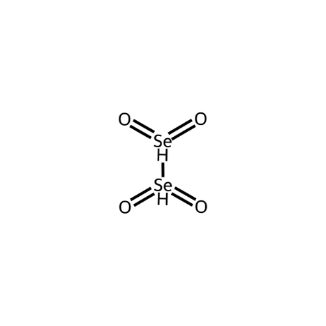 O=[SeH](=O)[SeH](=O)=O